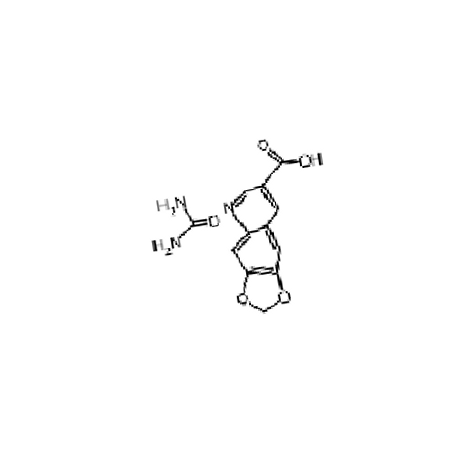 NC(N)=O.O=C(O)c1cnc2cc3c(cc2c1)OCO3